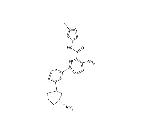 Cn1cc(NC(=O)c2nc(-c3cccc(N4CCC[C@@H](N)C4)c3)ccc2N)cn1